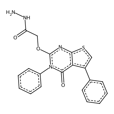 NNC(=O)COc1nc2scc(-c3ccccc3)c2c(=O)n1-c1ccccc1